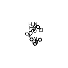 N#Cc1ccc(CN2CCC(CC(=O)Nc3cc(Cl)ccc3N)CC2=O)cc1N=C(c1ccccc1)c1ccccc1